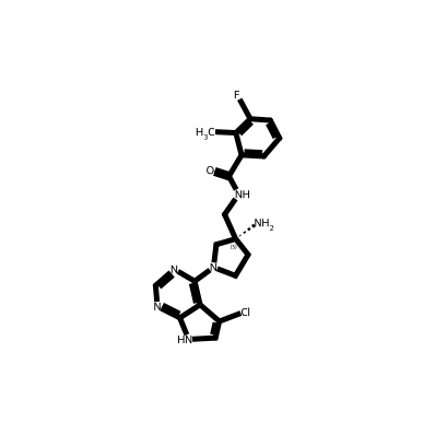 Cc1c(F)cccc1C(=O)NC[C@@]1(N)CCN(c2ncnc3[nH]cc(Cl)c23)C1